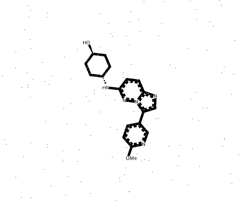 COc1ccc(-c2cnc3ccc(N[C@H]4CC[C@H](O)CC4)nn23)cn1